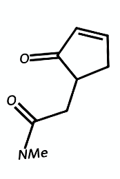 CNC(=O)CC1CC=CC1=O